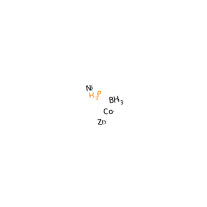 B.P.[Co].[Ni].[Zn]